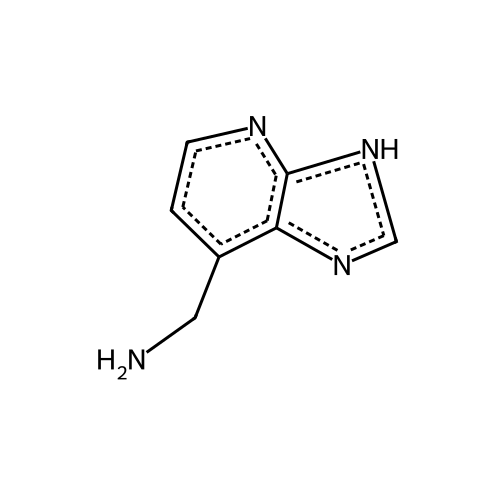 NCc1ccnc2[nH]cnc12